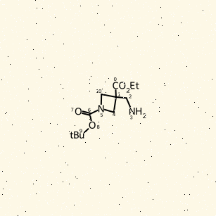 CCOC(=O)C1(CN)CN(C(=O)OC(C)(C)C)C1